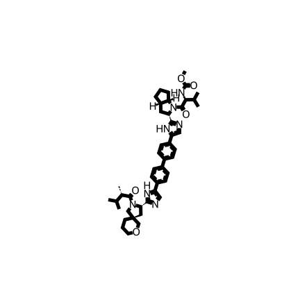 COC(=O)N[C@H](C(=O)N1[C@H](c2ncc(-c3ccc(-c4ccc(-c5cnc([C@@H]6C[C@@]7(CCCOC7)CN6C(=O)[C@@H](C)C(C)C)[nH]5)cc4)cc3)[nH]2)C[C@@H]2CCC[C@@H]21)C(C)C